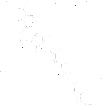 CCNc1ccn([C@@H]2O[C@H](COC(=O)NCCCCCCC(=O)NO)[C@@H](O)[C@@H]2O)c(=O)n1